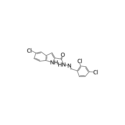 O=C(NN=Cc1ccc(Cl)cc1Cl)c1cc2cc(Cl)ccc2[nH]1